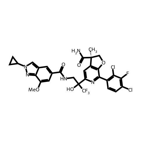 COc1cc(C(=O)NCC(O)(c2cc3c(c(-c4ccc(Cl)c(F)c4Cl)n2)OC[C@]3(C)C(N)=O)C(F)(F)F)cc2cn(C3CC3)nc12